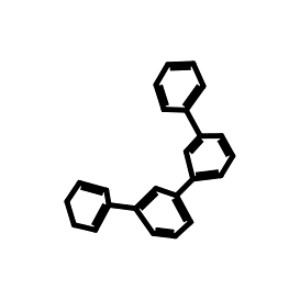 C1=CC(c2cccc(-c3cccc(-c4ccccc4)c3)c2)=CCC1